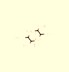 O=C([O-])C(O)C(O)C(=O)[O-].O=C([O-])C(O)C(O)C(=O)[O-].[Ti+4]